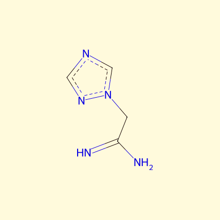 N=C(N)Cn1cncn1